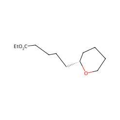 CCOC(=O)CCCC[C@@H]1CCCCO1